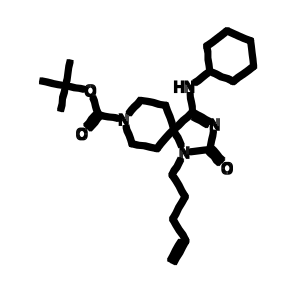 C=CCCCN1C(=O)N=C(NC2CCCCC2)C12CCN(C(=O)OC(C)(C)C)CC2